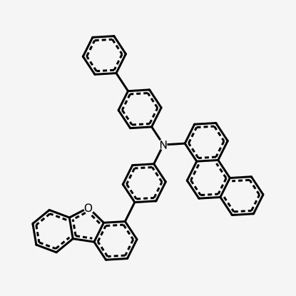 c1ccc(-c2ccc(N(c3ccc(-c4cccc5c4oc4ccccc45)cc3)c3cccc4c3ccc3ccccc34)cc2)cc1